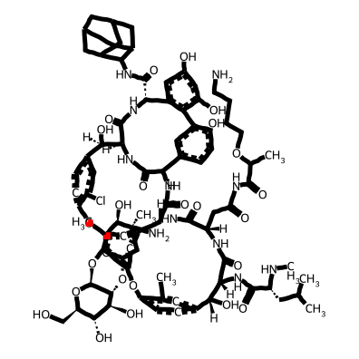 CN[C@H](CC(C)C)C(=O)N[C@H]1C(=O)N[C@@H](CC(=O)NC(=O)C(C)OCCCCN)C(=O)N[C@H]2C(=O)N[C@H]3C(=O)N[C@H](C(=O)N[C@H](C(=O)NC4C5CC6CC(C5)CC4C6)c4cc(O)cc(O)c4-c4cc3ccc4O)[C@H](O)c3ccc(c(Cl)c3)Oc3cc2cc(c3O[C@@H]2O[C@H](CO)[C@@H](O)[C@H](O)[C@H]2O[C@H]2C[C@](C)(N)[C@H](O)[C@H](C)O2)Oc2ccc(cc2C)[C@H]1O